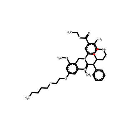 CCCCCOCCOc1cc(OC)c(CN(C(=O)C(c2ccccc2)C2CCNCC2)c2ccc(C)c(C(=O)OCC)c2)c(OC)c1